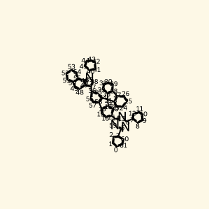 c1ccc(-c2nc(-c3ccccc3)nc(-c3ccc4c(c3)C3(c5ccccc5-c5ccccc53)c3cc(-c5cn(-c6ccccc6)c6c5ccc5ccccc56)ccc3-4)n2)cc1